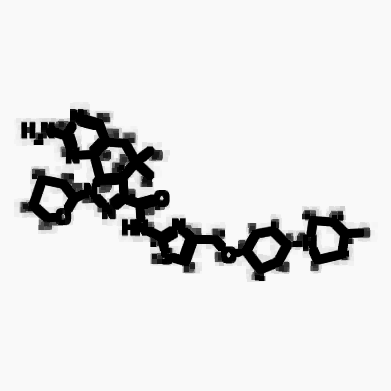 CC1CCN([C@H]2CC[C@H](OCc3csc(NC(=O)c4nn(C5CCCCO5)c5c4C(C)(C)Cc4cnc(N)nc4-5)n3)CC2)CC1